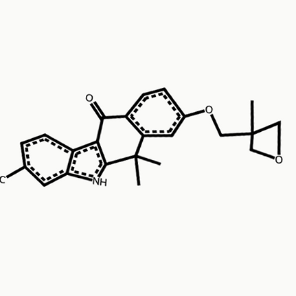 CC1(COc2ccc3c(c2)C(C)(C)c2[nH]c4cc(C#N)ccc4c2C3=O)COC1